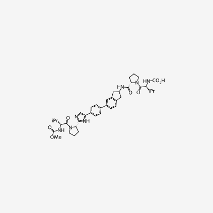 COC(=O)N[C@H](C(=O)N1CCC[C@H]1c1ncc(-c2ccc(-c3ccc4c(c3)CC(NC(=O)[C@@H]3CCCN3C(=O)[C@@H](NC(=O)O)C(C)C)C4)cc2)[nH]1)C(C)C